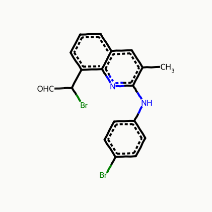 Cc1cc2cccc(C(Br)C=O)c2nc1Nc1ccc(Br)cc1